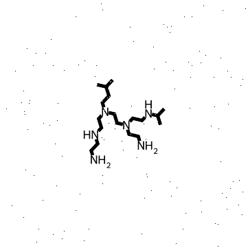 CC(C)CCN(CCNCCN)CCN(CCN)CCNC(C)C